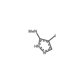 CNc1[nH]ncc1I